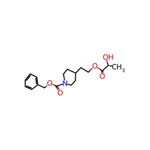 C[C@H](O)C(=O)OCCC1CCN(C(=O)OCc2ccccc2)CC1